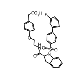 O=C(O)Cc1ccc(OCCNC(=O)[C@@H]2Cc3ccccc3N2S(=O)(=O)c2ccc(-c3cccc(F)c3)cc2)cc1